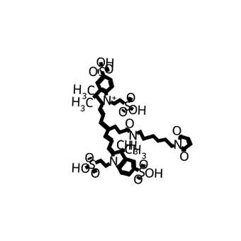 CC1(C)C(/C=C/C=C(/C=C/C=C2/N(CCS(=O)(=O)O)c3ccc(S(=O)(=O)O)cc3C2(C)C)CCC(=O)NCCCCCCN2C(=O)C=CC2=O)=[N+](CCS(=O)(=O)O)c2ccc(S(=O)(=O)O)cc21